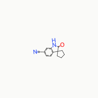 N#Cc1ccc2c(c1)NC(=O)C21CCCC1